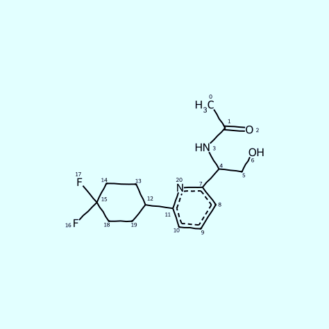 CC(=O)NC(CO)c1cccc(C2CCC(F)(F)CC2)n1